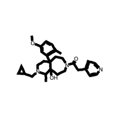 COc1ccc(C)c(C23CCN(C(=O)Cc4ccncc4)CCC2(O)C(C)N(CC2CC2)CC3)c1